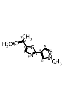 C=C=C(C)c1cnc(-c2cnn(C)c2)s1